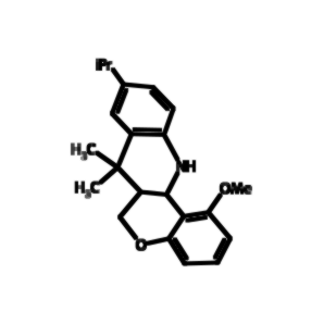 COc1cccc2c1C1Nc3ccc(C(C)C)cc3C(C)(C)C1CO2